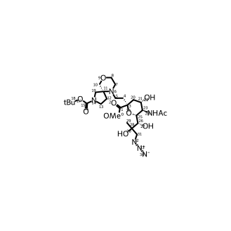 COC(=O)[C@@]1(CCN2CCOC[C@@]23CCN(C(=O)OC(C)(C)C)C3)C[C@H](O)[C@@H](NC(C)=O)[C@H]([C@H](O)C(C)(O)CN=[N+]=[N-])O1